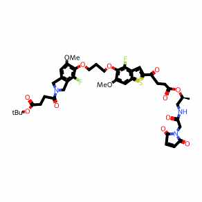 COc1cc2c(c(F)c1OCCCOc1c(OC)cc3sc(C(=O)CCC(=O)O[C@@H](C)CNC(=O)CN4C(=O)C=CC4=O)cc3c1F)CN(C(=O)CCC(=O)OC(C)(C)C)C2